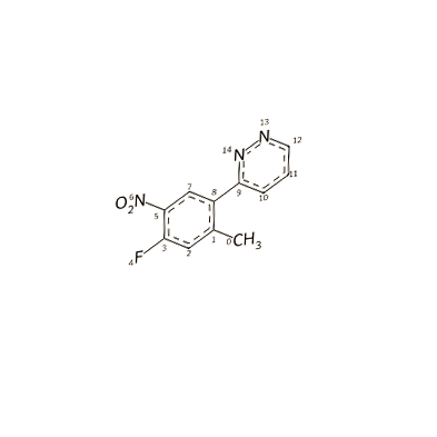 Cc1cc(F)c([N+](=O)[O-])cc1-c1cccnn1